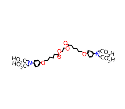 O=C(O)CN(CC(=O)O)c1ccc(OCCCCCC(=O)OCCOC(=O)CCCCCOc2ccc(N(CC(=O)O)CC(=O)O)cc2)cc1